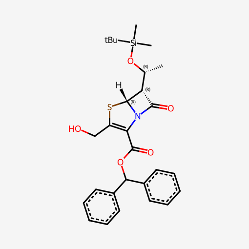 C[C@@H](O[Si](C)(C)C(C)(C)C)[C@@H]1C(=O)N2C(C(=O)OC(c3ccccc3)c3ccccc3)=C(CO)S[C@H]12